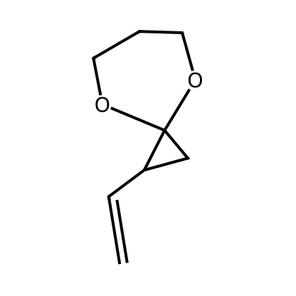 C=CC1CC12OCCCO2